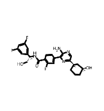 Nc1ncc([C@@H]2CCC[C@H](O)C2)nc1-c1ccc(C(=O)N[C@H](CO)c2cc(F)cc(I)c2)c(F)c1